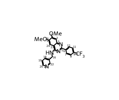 COc1cc2nc(-c3ccc(C(F)(F)F)cc3)nc(NCc3cccnc3)c2cc1OC